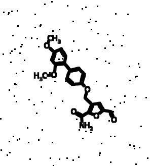 COc1ccc(-c2ccc(OCc3cc([C]=O)oc3C(N)=O)cc2)c(OC)c1